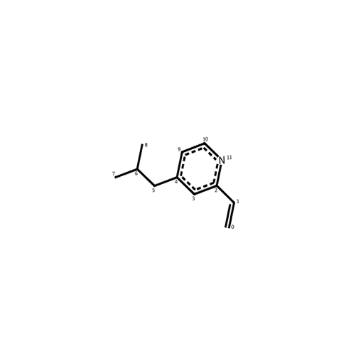 C=Cc1cc(CC(C)C)ccn1